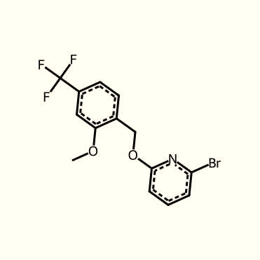 COc1cc(C(F)(F)F)ccc1COc1cccc(Br)n1